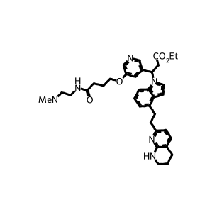 CCOC(=O)CC(c1cncc(OCCCC(=O)NCCNC)c1)n1ccc2c(CCc3ccc4c(n3)NCCC4)cccc21